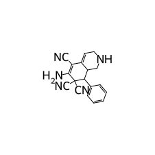 N#CC1=C(N)C(C#N)(C#N)C(c2ccccc2)C2CNCC=C12